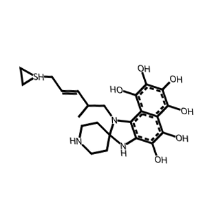 CC(/C=C/C[SH]1CC1)CN1c2c(c(O)c(O)c3c(O)c(O)c(O)c(O)c23)NC12CCNCC2